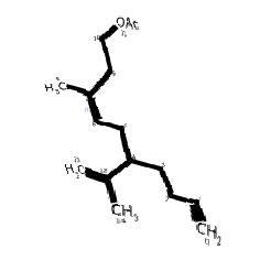 C=CCCC(C/C=C(/C)CCOC(C)=O)C(=C)C